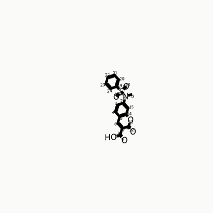 CN(c1ccc2cc(C(=O)O)c(=O)oc2c1)S(=O)(=O)c1ccccc1